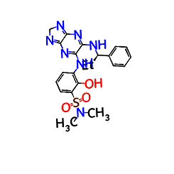 CC[C@@H](Nc1nc2c(nc1Nc1cccc(S(=O)(=O)N(C)C)c1O)=NCN=2)c1ccccc1